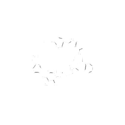 Cc1ccc(-c2nc(C)c(C(=O)N3CC[C@@H](C(=O)N4CCC(O)(Cn5cnc(Oc6ccc(CN)cc6)c(N)c5=O)CC4)[C@H](c4ccccc4)C3)s2)cn1